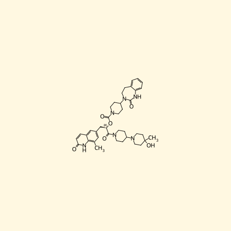 Cc1cc(C[C@@H](OC(=O)N2CCC(N3CCc4ccccc4NC3=O)CC2)C(=O)N2CCC(N3CCC(C)(O)CC3)CC2)cc2ccc(=O)[nH]c12